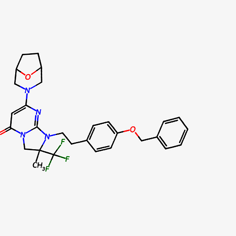 CC1(C(F)(F)F)Cn2c(nc(N3CC4CCC(C3)O4)cc2=O)N1CCc1ccc(OCc2ccccc2)cc1